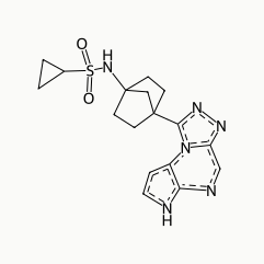 O=S(=O)(NC12CCC(c3nnc4cnc5[nH]ccc5n34)(CC1)C2)C1CC1